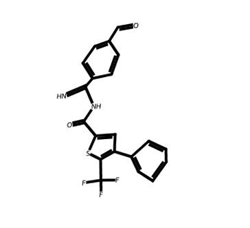 N=C(NC(=O)c1cc(-c2ccccc2)c(C(F)(F)F)s1)c1ccc(C=O)cc1